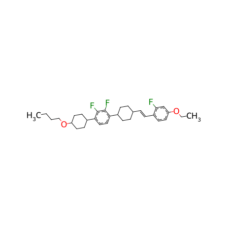 CCCCOC1CCC(c2ccc(C3CCC(/C=C/c4ccc(OCC)cc4F)CC3)c(F)c2F)CC1